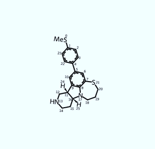 CSc1ccc(-c2cc3c4c(c2)[C@H]2CNCC[C@H]2N4CCCS3)cc1